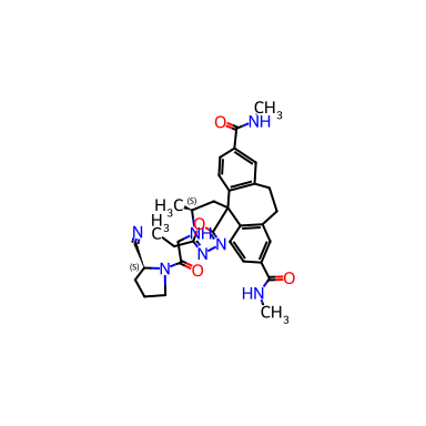 CCc1nnc(C2(C[C@H](C)NCC(=O)N3CCC[C@H]3C#N)c3ccc(C(=O)NC)cc3CCc3cc(C(=O)NC)ccc32)o1